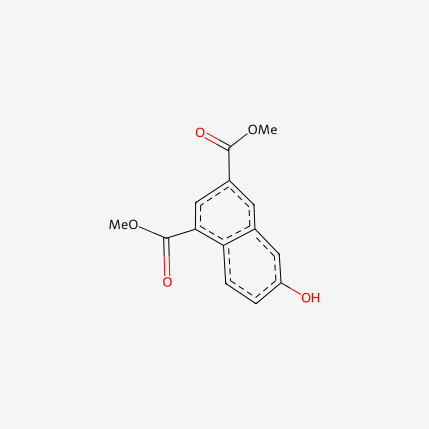 COC(=O)c1cc(C(=O)OC)c2ccc(O)cc2c1